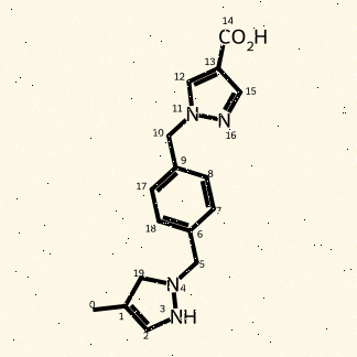 CC1=CNN(Cc2ccc(Cn3cc(C(=O)O)cn3)cc2)C1